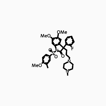 COc1ccc(S(=O)(=O)N2C(=O)C(CCCN3CCN(C)CC3)(c3ccccc3F)c3cc(OC)c(OC)cc32)cc1C